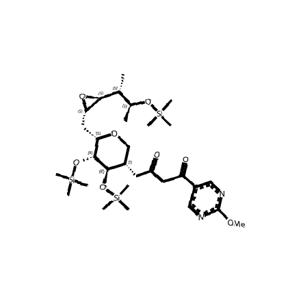 COc1ncc(C(=O)CC(=O)C[C@H]2CO[C@@H](C[C@@H]3O[C@H]3[C@H](C)[C@H](C)O[Si](C)(C)C)[C@@H](O[Si](C)(C)C)[C@@H]2O[Si](C)(C)C)cn1